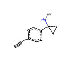 C#Cc1ccc(C2(NCCC)CC2)cc1